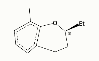 CC[C@H]1CCc2cccc(C)c2O1